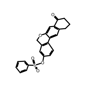 O=C1CCCc2cc3c(cc21)OCc1cc(OS(=O)(=O)c2ccccc2)ccc1-3